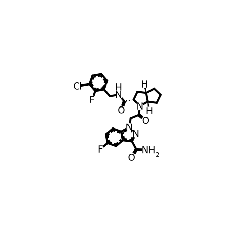 NC(=O)c1nn(CC(=O)N2[C@H](C(=O)NCc3cccc(Cl)c3F)C[C@@H]3CCC[C@@H]32)c2ccc(F)cc12